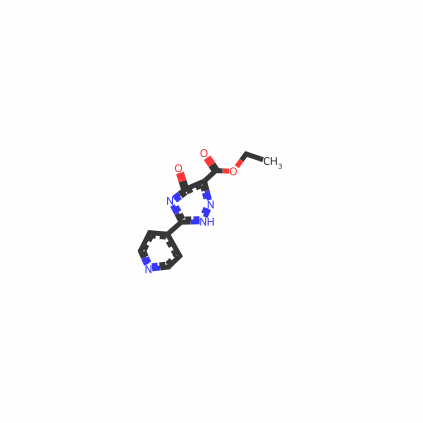 CCOC(=O)c1n[nH]c(-c2ccncc2)nc1=O